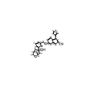 N#Cc1cc(-c2ccsc2)c2ccc(OCc3cccc(C4(O)CC5COC(C4)O5)n3)cc2c1